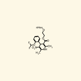 CCCCCCOCCOC(=O)C1=C(C)NC(C)=C([N+](=O)[O-])C1c1ccccc1OC(F)F